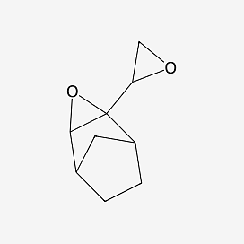 C1CC2CC1C1OC21C1CO1